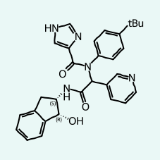 CC(C)(C)c1ccc(N(C(=O)c2c[nH]cn2)C(C(=O)N[C@H]2Cc3ccccc3[C@H]2O)c2cccnc2)cc1